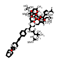 COC(=O)N[C@H](C(=O)N[C@@H](Cc1ccc(C#Cc2cnc(N3CC4CCC(C3)N4C3COC3)nc2)cc1)[C@H](CN(Cc1c(F)cc(-c2ccn(C(F)F)n2)cc1F)NC(=O)[C@@H](NC(=O)OC)C(C)(C)C(F)(F)F)OC(=O)CC(C)(C)c1c(CC(=O)NC(CP(=O)(O)O)C(=O)O)cc(C)cc1OP(=O)(O)O)C(C)(C)C(F)(F)F